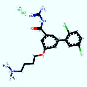 CN(C)CCCCOc1cc(C(=O)NC(=N)N)cc(-c2cc(Cl)ccc2Cl)c1.Cl.Cl